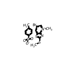 CSc1nc2c(cc(Br)c[n+]2C)s1.Cc1ccc(S(=O)(=O)[O-])cc1